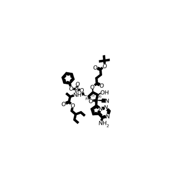 CCC(CC)COC(=O)C(C)N[P@](=O)(OC[C@H]1O[C@@](C#N)(c2ccc3c(N)ncnn23)[C@H](O)[C@@H]1OC(=O)CCC(=O)OC(C)(C)C)Oc1ccccc1